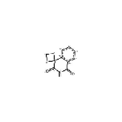 O=C1NC(=O)C2(CCC2)c2ccccc21